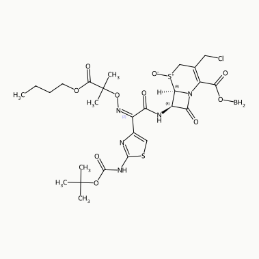 BOC(=O)C1=C(CCl)C[S+]([O-])[C@@H]2[C@H](NC(=O)/C(=N\OC(C)(C)C(=O)OCCCC)c3csc(NC(=O)OC(C)(C)C)n3)C(=O)N12